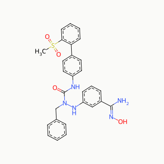 CS(=O)(=O)c1ccccc1-c1ccc(NC(=O)N(Cc2ccccc2)Nc2cccc(C(N)=NO)c2)cc1